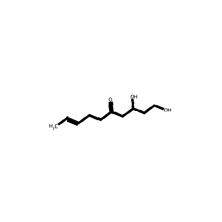 C/C=C/CCC(=O)CC(O)CCO